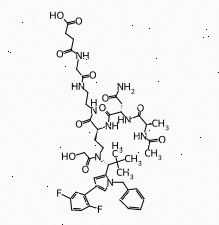 CC(=O)N[C@H](C)C(=O)N[C@@H](CC(N)=O)C(=O)N[C@@H](CCN(C(=O)CO)[C@@H](c1cc(-c2cc(F)ccc2F)cn1Cc1ccccc1)C(C)(C)C)C(=O)NCCNC(=O)CNC(=O)CCC(=O)O